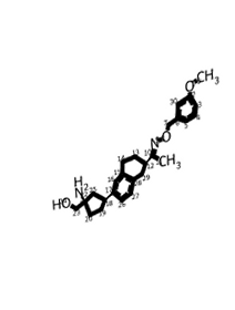 COc1cccc(CO/N=C(\C)[C@@H]2CCc3cc([C@H]4CC[C@](N)(CO)C4)ccc3C2)c1